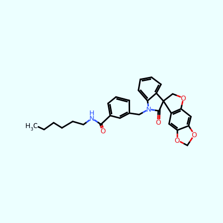 CCCCCCNC(=O)c1cccc(CN2C(=O)C3(COc4cc5c(cc43)OCO5)c3ccccc32)c1